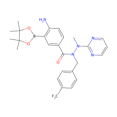 CN(c1ncccn1)N(Cc1ccc(C(F)(F)F)cc1)C(=O)c1ccc(N)c(B2OC(C)(C)C(C)(C)O2)c1